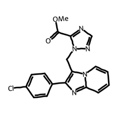 COC(=O)c1ncnn1Cc1c(-c2ccc(Cl)cc2)nc2ccccn12